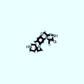 Cc1cc2c(cc1N1CCC13CCNCC3)N1C(=NNC(=O)C1C)CO2